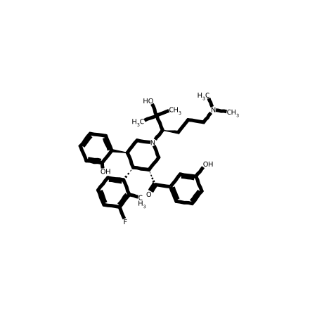 Cc1c(F)cccc1[C@H]1[C@@H](C(=O)c2cccc(O)c2)CN([C@H](CCCN(C)C)C(C)(C)O)C[C@@H]1c1cc[c]cc1O